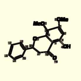 COc1cc(O)c2c(c1OC)OC(c1ccccc1)CC2=O